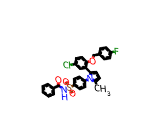 Cc1ccc(-c2cc(Cl)ccc2OCc2ccc(F)cc2)n1-c1ccc(S(=O)(=O)NC(=O)c2ccccc2)cc1